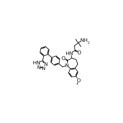 COc1ccc2c(c1)CCC(NC(=O)CC(C)(C)N)C(=O)N2Cc1ccc(-c2ccccc2-c2nnn[nH]2)cc1